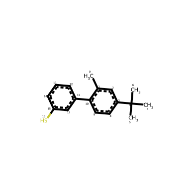 Cc1cc(C(C)(C)C)ccc1-c1cccc(S)c1